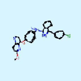 COc1ccc2nccc(Oc3ccc(Nc4nnc(-c5ccc(Cl)cc5)c5ccccc45)cc3)c2n1